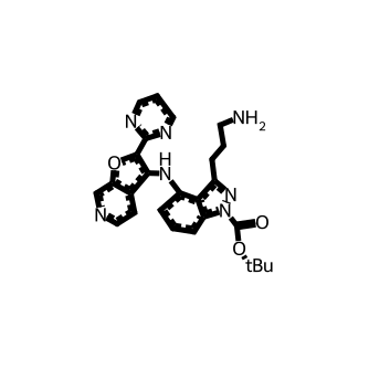 CC(C)(C)OC(=O)n1nc(CCCN)c2c(Nc3c(-c4ncccn4)oc4cnccc34)cccc21